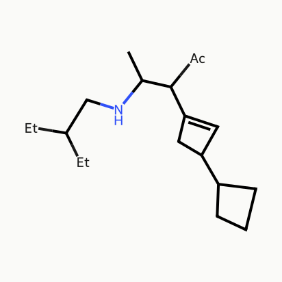 CCC(CC)CNC(C)C(C(C)=O)C1=CC(C2CCC2)C1